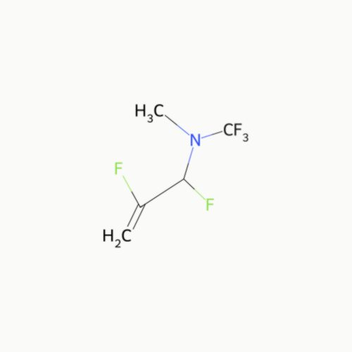 C=C(F)C(F)N(C)C(F)(F)F